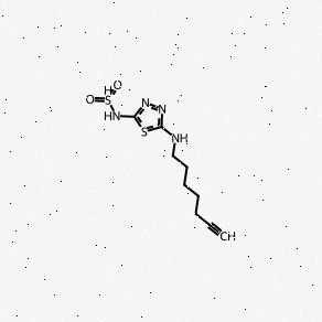 C#CCCCCCNc1nnc(N[SH](=O)=O)s1